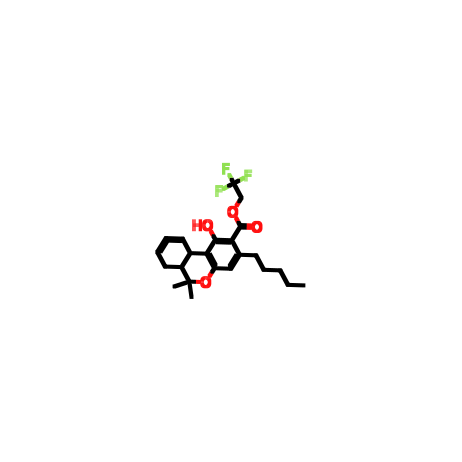 CCCCCc1cc2c(c(O)c1C(=O)OCC(F)(F)F)C1C=C=CCC1C(C)(C)O2